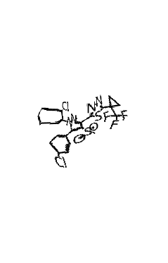 CS(=O)(=O)c1c(-c2nnc(C3(C(F)(F)F)CC3)s2)nn(-c2ccccc2Cl)c1-c1ccc(Cl)cc1